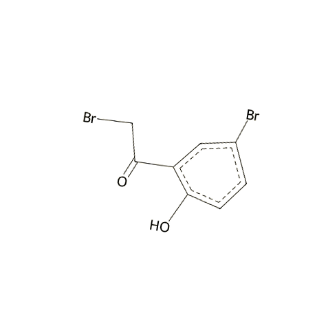 O=C(CBr)c1cc(Br)ccc1O